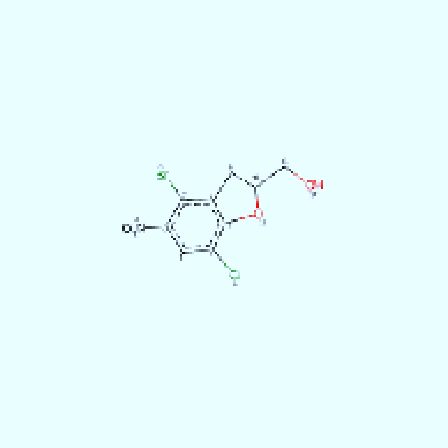 O=[N+]([O-])c1cc(Cl)c2c(c1Br)CC(CO)O2